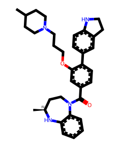 CC1CCN(CCCOc2cc(C(=O)N3CC[C@H](C)Nc4ccccc43)ccc2-c2ccc3c(c2)CCN3)CC1